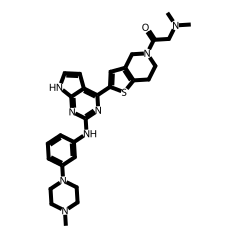 CN(C)CC(=O)N1CCc2sc(-c3nc(Nc4cccc(N5CCN(C)CC5)c4)nc4[nH]ccc34)cc2C1